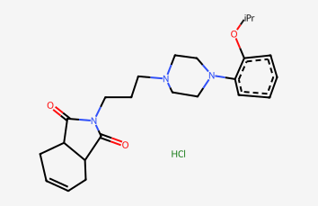 CC(C)Oc1ccccc1N1CCN(CCCN2C(=O)C3CC=CCC3C2=O)CC1.Cl